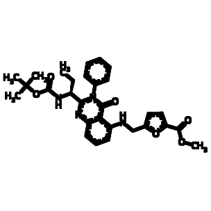 CC[C@H](NC(=O)OC(C)(C)C)c1nc2cccc(NCc3ccc(C(=O)OC)o3)c2c(=O)n1-c1ccccc1